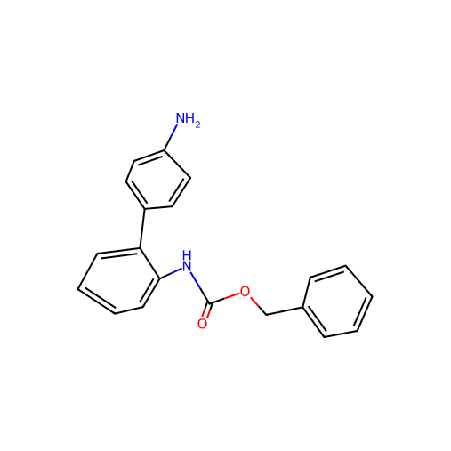 Nc1ccc(-c2ccccc2NC(=O)OCc2ccccc2)cc1